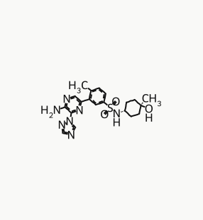 Cc1ccc(S(=O)(=O)N[C@H]2CC[C@](C)(O)CC2)cc1-c1cnc(N)c(-n2cncn2)n1